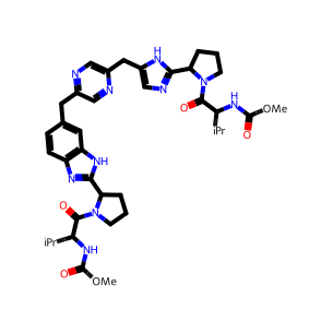 COC(=O)NC(C(=O)N1CCCC1c1ncc(Cc2cnc(Cc3ccc4nc(C5CCCN5C(=O)C(NC(=O)OC)C(C)C)[nH]c4c3)cn2)[nH]1)C(C)C